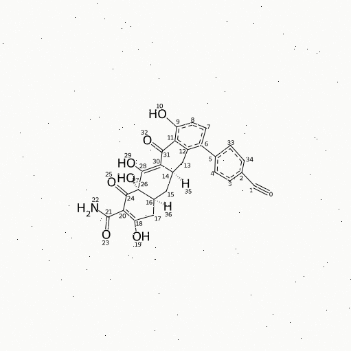 C#Cc1ccc(-c2ccc(O)c3c2C[C@H]2C[C@H]4CC(O)=C(C(N)=O)C(=O)[C@@]4(O)C(O)=C2C3=O)cc1